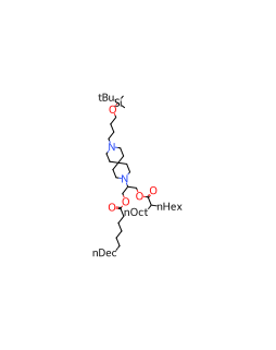 CCCCCCCCCCCCCCCC(=O)OCC(COC(=O)C(CCCCCC)CCCCCCCC)N1CCC2(CCN(CCCCO[Si](C)(C)C(C)(C)C)CC2)CC1